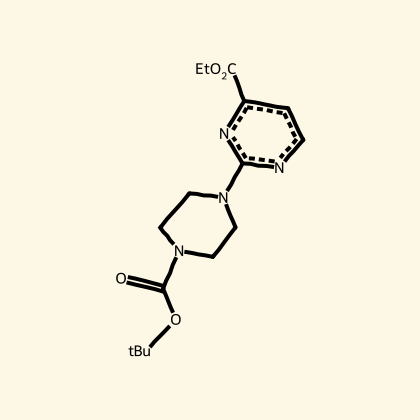 CCOC(=O)c1ccnc(N2CCN(C(=O)OC(C)(C)C)CC2)n1